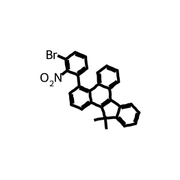 CC1(C)c2ccccc2-c2c1c1cccc(-c3cccc(Br)c3[N+](=O)[O-])c1c1ccccc21